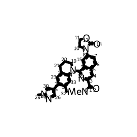 CNC(=O)c1cc2ccc(N3CCOC3=O)cc2c(N2CCCc3cc(-c4cnn(C)c4)c(C)cc32)n1